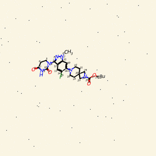 Cn1nc(N2CCC(=O)NC2=O)c2cc(F)c(N3CCC4(CC3)CN(C(=O)OC(C)(C)C)C4)cc21